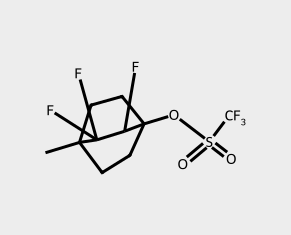 CC12CCC(OS(=O)(=O)C(F)(F)F)(CC1)C(F)C2(F)F